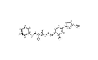 CC(=O)c1ccc(-c2ccc(OCCNC(=O)CCc3cccnc3)c(Cl)c2)s1